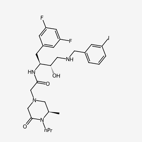 CCCN1C(=O)CN(CC(=O)N[C@@H](Cc2cc(F)cc(F)c2)[C@@H](O)CNCc2cccc(I)c2)C[C@H]1C